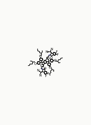 CCCCC(CC)COc1ccc(C2(c3ccc(OCC(CC)CCCC)cc3)c3cc4c(cc3-c3cc(/C=C5\C(=O)c6cc(F)c(F)cc6C5=C(C#N)C#N)sc32)C(c2ccc(OCC(CC)CCCC)cc2)(c2ccc(OCC(CC)CCCC)cc2)c2sc(/C=C3\C(=O)c5cc(F)c(F)cc5C3=C(C#N)C#N)cc2-4)cc1